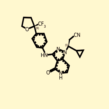 N#CC[C@@H](C1CC1)n1nc(Nc2ccc([C@@]3(C(F)(F)F)CCCO3)cc2)c2c(=O)[nH]ccc21